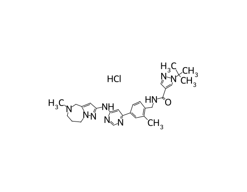 Cc1cc(-c2cc(Nc3cc4n(n3)CCCN(C)C4)ncn2)ccc1CNC(=O)c1cnn(C(C)(C)C)c1.Cl